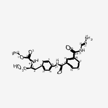 CC(C)OC(=O)NC(Cc1ccc(NC(=O)c2cccc(C(=O)NC=NN)c2)cc1)C(=O)O